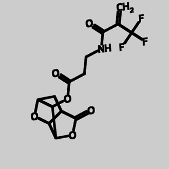 C=C(C(=O)NCCC(=O)OC1C2CC3C(=O)OC1C3O2)C(F)(F)F